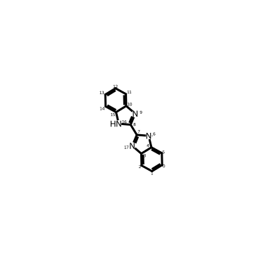 c1ccc2c(c1)[N]C(c1nc3ccccc3[nH]1)=N2